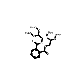 CCCCCCCCCOC(COC(=O)c1ccccc1C(=O)OCC(OCCCCCCCCC)OCCCCCCCCC)OCCCCCCCCC